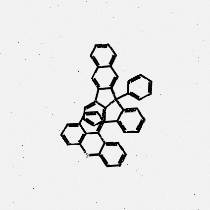 c1ccc(C2(c3ccccc3-c3ccc4cccc5c4c3-c3ccccc3S5)c3ccccc3-c3cc4ccccc4cc32)cc1